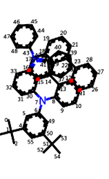 CC(C)(C)c1cc(N(c2ccccc2-c2cccc3cccc(-c4ccccc4)c23)c2cccc3c2c2ccccc2n3-c2ccccc2)cc(C(C)(C)C)c1